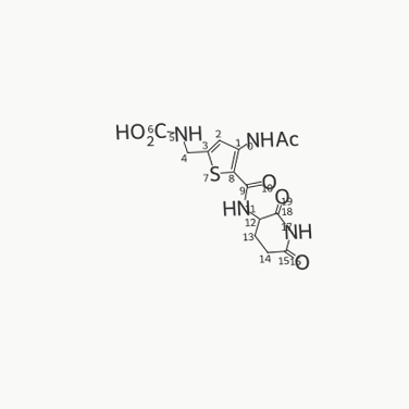 CC(=O)Nc1cc(CNC(=O)O)sc1C(=O)NC1CCC(=O)NC1=O